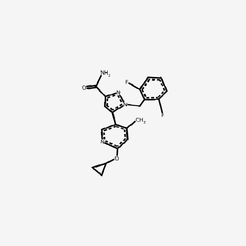 Cc1cc(OC2CC2)ncc1-c1cc(C(N)=O)nn1Cc1c(F)cccc1F